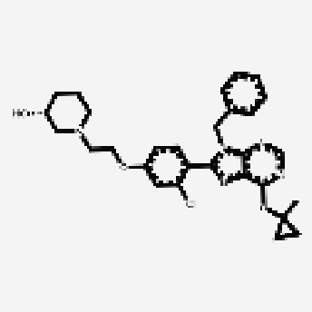 CC1(Oc2ncnc3c2nc(-c2ccc(OCCN4CCC[C@@H](O)C4)cc2Cl)n3Cc2ccccc2)CC1